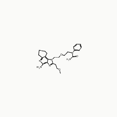 COCCc1nc2c(N)nc3c(c2n1CCOCCN(C(N)=O)c1ccccc1)CCCC3